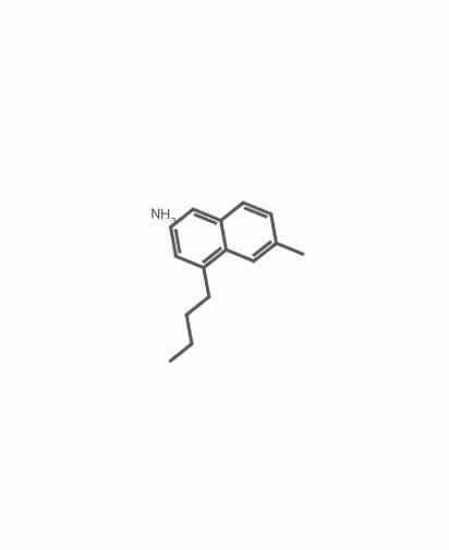 CCCCc1cccc2ccc(C)cc12.N